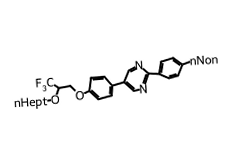 CCCCCCCCCc1ccc(-c2ncc(-c3ccc(OCC(OCCCCCCC)C(F)(F)F)cc3)cn2)cc1